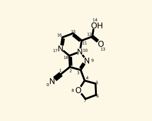 N#Cc1c(C2CCCO2)nn2c(C(=O)O)ccnc12